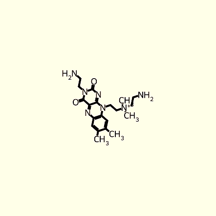 Cc1cc2nc3c(=O)n(CCN)c(=O)nc-3n(CC[N+](C)(C)CCN)c2cc1C